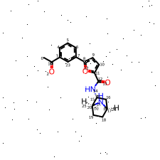 CC(=O)c1cccc(-c2ccc(C(=O)N[C@@H]3C[C@H]4CC[C@@H]3N4)o2)c1